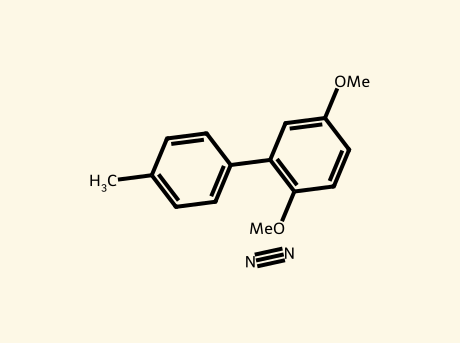 COc1ccc(OC)c(-c2ccc(C)cc2)c1.N#N